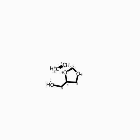 C=C.OCC1COCO1